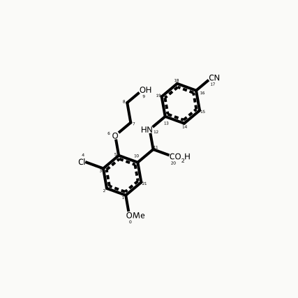 COc1cc(Cl)c(OCCO)c(C(Nc2ccc(C#N)cc2)C(=O)O)c1